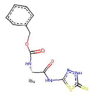 CC[C@H](C)[C@H](NC(=O)OCc1ccccc1)C(=O)Nc1n[nH]c(=S)s1